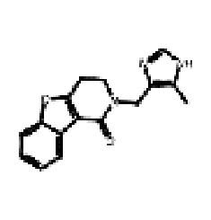 Cc1[nH]cnc1CN1CCc2oc3ccccc3c2C1=O